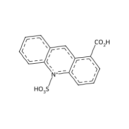 O=C(O)c1cccc2c1cc1ccccc1[n+]2S(=O)(=O)O